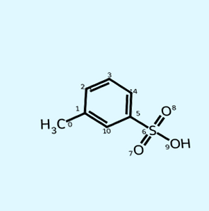 Cc1[c]c[c]c(S(=O)(=O)O)c1